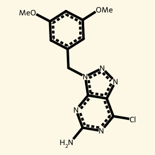 COc1cc(Cn2nnc3c(Cl)nc(N)nc32)cc(OC)c1